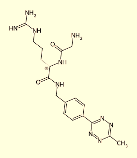 Cc1nnc(-c2ccc(CNC(=O)[C@H](CCCNC(=N)N)NC(=O)CN)cc2)nn1